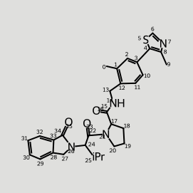 Cc1cc(-c2scnc2C)ccc1CNC(=O)C1CCCN1C(=O)C(C(C)C)N1Cc2ccccc2C1=O